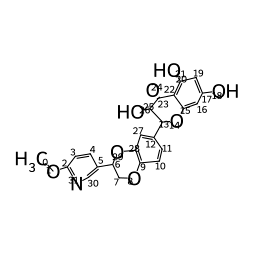 COc1ccc(C2COc3ccc(C4Oc5cc(O)cc(O)c5C(=O)C4O)cc3O2)cn1